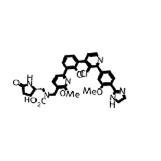 COc1cc(-c2nccc(-c3cccc(-c4ccc(CN(C[C@@H]5CCC(=O)N5)C(=O)O)c(OC)n4)c3Cl)c2Cl)ccc1C1=NCCN1